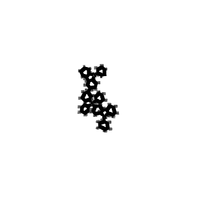 c1ccc(-n2c3ccccc3c3cc(-c4cccc(S(c5ccccc5)(c5ccccc5)c5ccc6c(c5)c5ccccc5n6-c5ccccc5)c4)ccc32)cc1